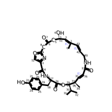 CC1=C\[C@@H](O)CC(=O)Cc2nc(co2)C(=O)N[C@H](Cc2ccc(O)cc2)C(=O)O[C@H](C(C)C)[C@H](C)/C=C/C(=O)NC\C=C\1